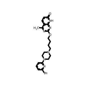 Cc1nc(OCCCCN2CCN(c3cccc(C(C)C)n3)CC2)nc2[nH]c(=O)ccc12